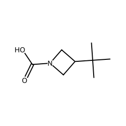 CC(C)(C)C1CN(C(=O)O)C1